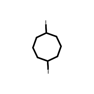 IC1CCCC(I)CCC1